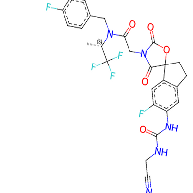 C[C@H](N(Cc1ccc(F)cc1)C(=O)CN1C(=O)OC2(CCc3cc(NC(=O)NCC#N)c(F)cc32)C1=O)C(F)(F)F